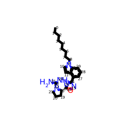 CCCCCCCCCn1ccc2c(-c3noc([C@@H]4CCCN4C(=N)N)n3)cccc21